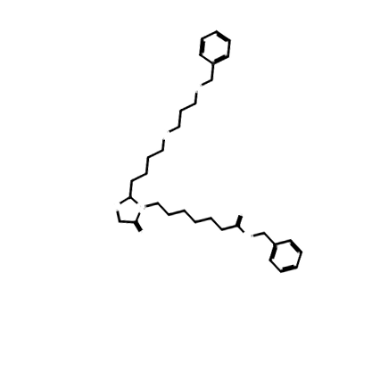 O=C(CCCCCCN1C(=O)CSC1CCCCOCCCOCc1ccccc1)OCc1ccccc1